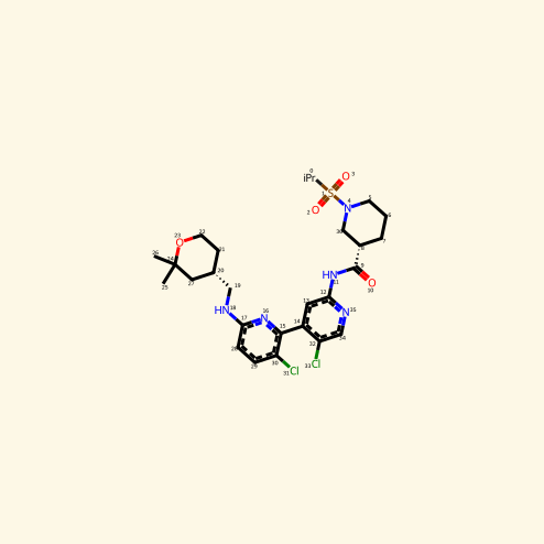 CC(C)S(=O)(=O)N1CCC[C@H](C(=O)Nc2cc(-c3nc(NC[C@H]4CCOC(C)(C)C4)ccc3Cl)c(Cl)cn2)C1